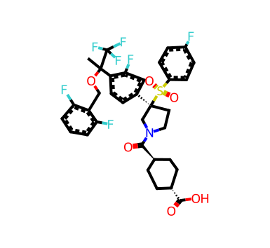 CC(OCc1c(F)cccc1F)(c1ccc([C@]2(S(=O)(=O)c3ccc(F)cc3)CCN(C(=O)[C@H]3CC[C@H](C(=O)O)CC3)C2)cc1F)C(F)(F)F